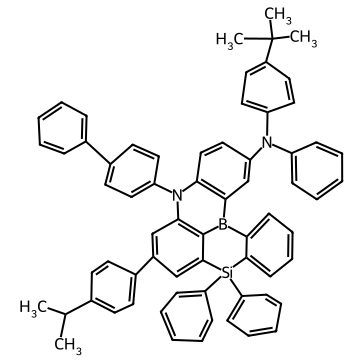 CC(C)c1ccc(-c2cc3c4c(c2)[Si](c2ccccc2)(c2ccccc2)c2ccccc2B4c2cc(N(c4ccccc4)c4ccc(C(C)(C)C)cc4)ccc2N3c2ccc(-c3ccccc3)cc2)cc1